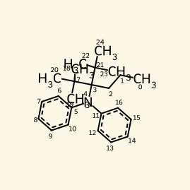 CCCC(N(c1ccccc1)c1ccccc1)(C(C)(C)C)C(C)(C)C